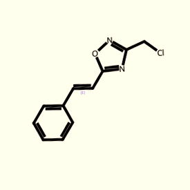 ClCc1noc(/C=C/c2ccccc2)n1